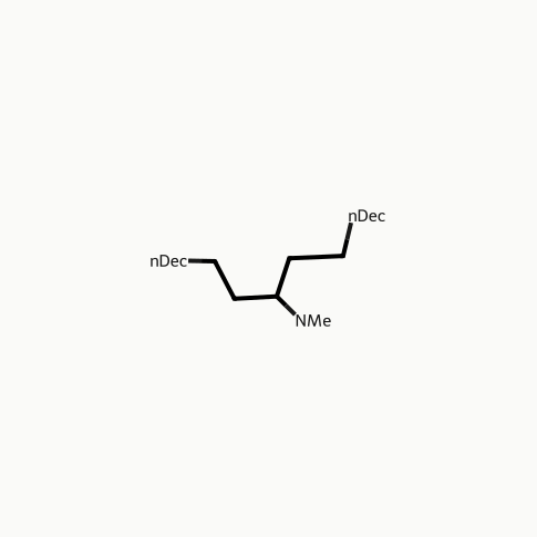 CCCCCCCCCCCCC(CCCCCCCCCCCC)NC